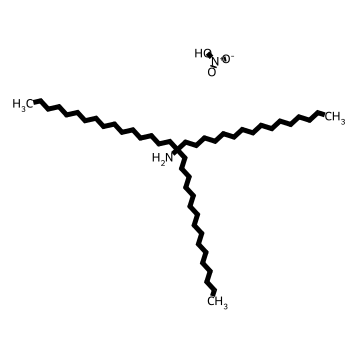 CCCCCCCCCCCCCCCCC(N)(CCCCCCCCCCCCCCCC)CCCCCCCCCCCCCCCC.O=[N+]([O-])O